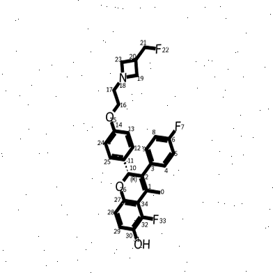 CC1=C(c2ccc(F)cc2)[C@@H](c2ccc(OCCN3CC(CF)C3)cc2)Oc2ccc(O)c(F)c21